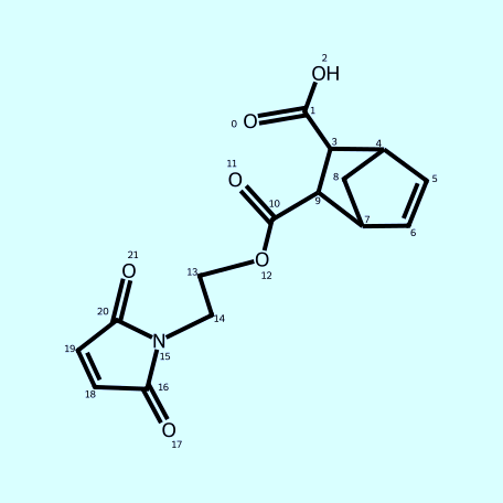 O=C(O)C1C2C=CC(C2)C1C(=O)OCCN1C(=O)C=CC1=O